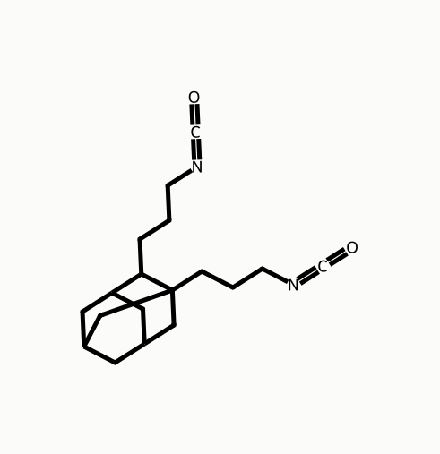 O=C=NCCCC1C2CC3CC(C2)CC1(CCCN=C=O)C3